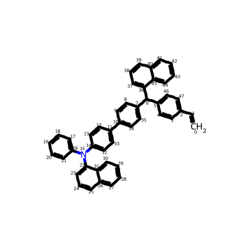 C=Cc1ccc(C(c2ccc(-c3ccc(N(c4ccccc4)c4cccc5ccccc45)cc3)cc2)c2cccc3ccccc23)cc1